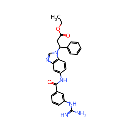 CCOC(=O)CC(c1ccccc1)n1cnc2cc(NC(=O)c3cccc(NC(=N)N)c3)ccc21